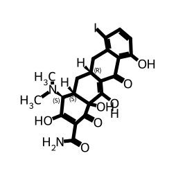 CN(C)[C@@H]1C(O)=C(C(N)=O)C(=O)C2(O)C(O)=C3C(=O)c4c(O)ccc(I)c4C[C@H]3C[C@@H]12